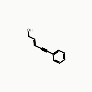 OCC=CC#Cc1ccccc1